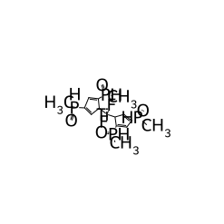 C[PH](=O)C1=C[CH]([Ti]([F])([F])[CH]2C=C([PH](C)=O)C=C2[PH](C)=O)C([PH](C)=O)=C1